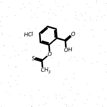 CC(=S)Oc1ccccc1C(=O)O.Cl